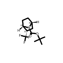 CC(C)(C)OC(=O)N1[C@@H]2CC[C@H]1[C@@H](C(F)(F)F)C2